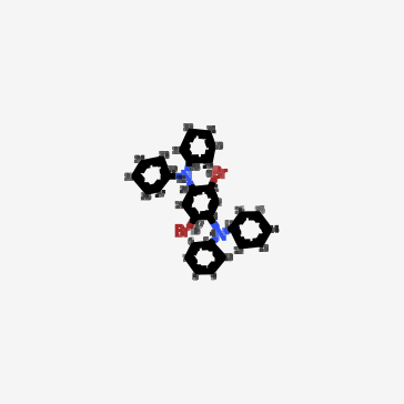 Brc1cc(N(c2ccccc2)c2ccccc2)c(Br)cc1N(c1ccccc1)c1ccccc1